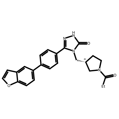 CCC(=O)N1CC[C@@H](Cn2c(-c3ccc(-c4ccc5occc5c4)cc3)n[nH]c2=O)C1